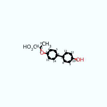 C[C@H](Oc1ccc(-c2ccc(O)cc2)cc1)C(=O)O